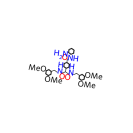 COc1cc(CCNC(=O)C(C(=O)NCCc2cc(OC)cc(OC)c2)c2ccc(C(=O)Nc3ccccc3N)cc2)cc(OC)c1